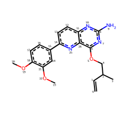 C=CC(C)COc1nc(N)nc2ccc(-c3ccc(OC)c(OC)c3)nc12